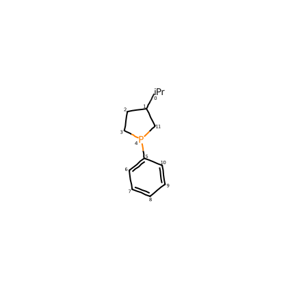 CC(C)C1CCP(c2ccccc2)C1